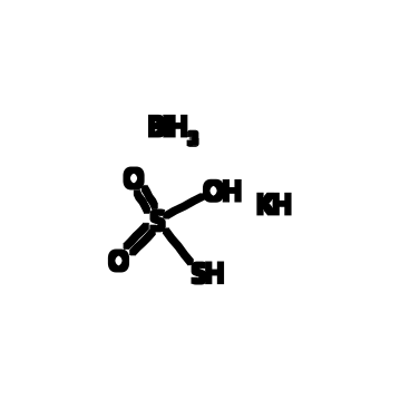 O=S(=O)(O)S.[BiH3].[KH]